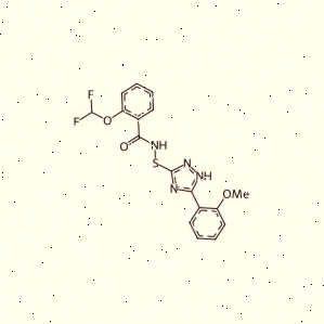 COc1ccccc1-c1nc(SNC(=O)c2ccccc2OC(F)F)n[nH]1